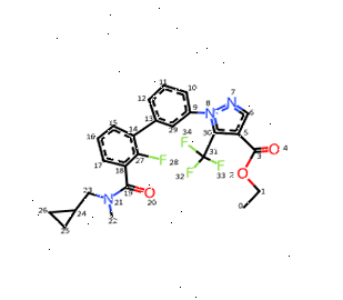 CCOC(=O)c1cnn(-c2cccc(-c3cccc(C(=O)N(C)CC4CC4)c3F)c2)c1C(F)(F)F